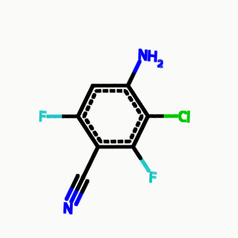 N#Cc1c(F)cc(N)c(Cl)c1F